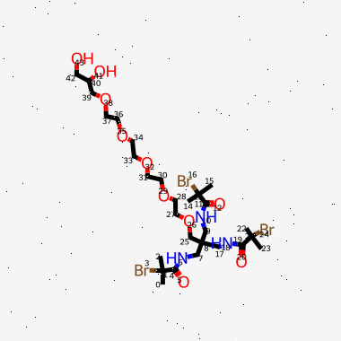 CC(C)(Br)C(=O)NCC(CNC(=O)C(C)(C)Br)(CNC(=O)C(C)(C)Br)COCCOCCOCCOCCOCC(O)CO